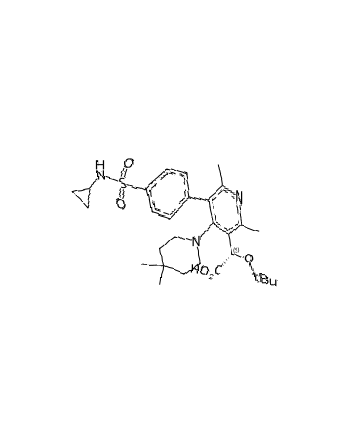 Cc1nc(C)c([C@H](OC(C)(C)C)C(=O)O)c(N2CCC(C)(C)CC2)c1-c1ccc(S(=O)(=O)NC2CC2)cc1